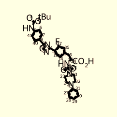 CC(C)(C)OC(=O)Nc1ccc(-c2nc(-c3ccc(CC(NS(=O)(=O)N4CCN(c5ccccc5)CC4)C(=O)O)cc3F)no2)cc1